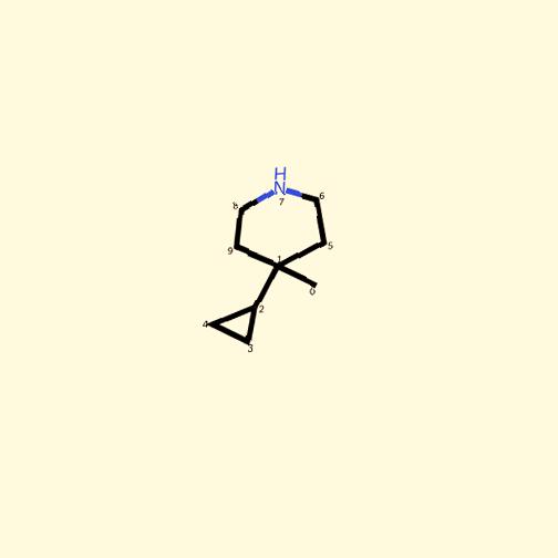 CC1(C2CC2)CCNCC1